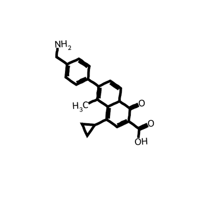 CC1=C(c2ccc(CN)cc2)C=CC2C(=O)C(C(=O)O)=CC(C3CC3)=C12